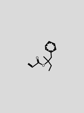 C=CC(=O)OC(C)(CC)Cc1ccccc1